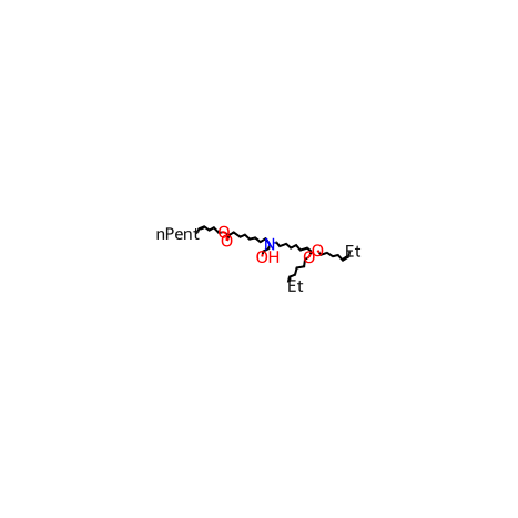 CC/C=C\CCCCOC(CCCCCCCN(CCO)CCCCCCCC(=O)OCCC/C=C\CCCCC)OCCCC/C=C\CC